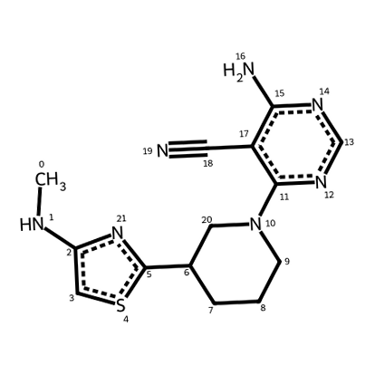 CNc1csc(C2CCCN(c3ncnc(N)c3C#N)C2)n1